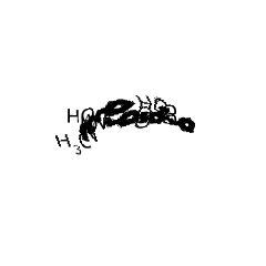 Cc1ccc([C@@H](O)C(Cc2ccccc2)NCCc2ccc(S(=O)(=O)c3ccc(OCc4ccccc4)c(C(=O)O)c3)cc2)cn1